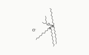 CCCCCCCCCC[N](CCCCCCCCCC)[Ti+]([O]CC(CC)CCCC)[N](CCCCCCCCCC)CCCCCCCCCC.[Cl-]